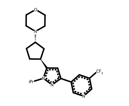 CC(C)n1nc(-c2cncc(C(F)(F)F)c2)cc1[C@H]1CC[C@H](N2CCOCC2)C1